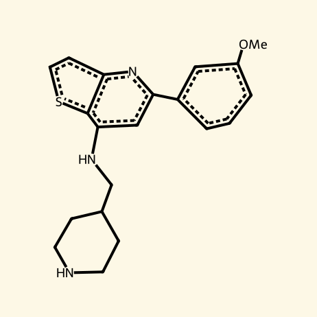 COc1cccc(-c2cc(NCC3CCNCC3)c3sccc3n2)c1